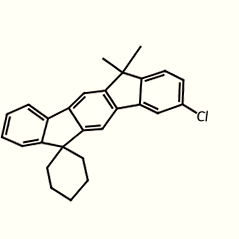 CC1(C)c2ccc(Cl)cc2-c2cc3c(cc21)-c1ccccc1C31CCCCC1